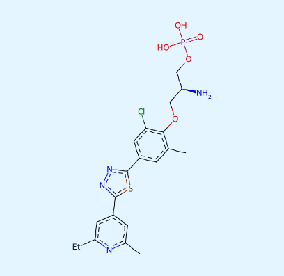 CCc1cc(-c2nnc(-c3cc(C)c(OC[C@H](N)COP(=O)(O)O)c(Cl)c3)s2)cc(C)n1